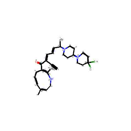 C#C/C(=C\C=C\C(CCC)N1CCC(N2CCC(F)(F)CC2)CC1)C(=O)/C1=C(\C(C)(C)C)NC/C=C(C)\C=C/C1